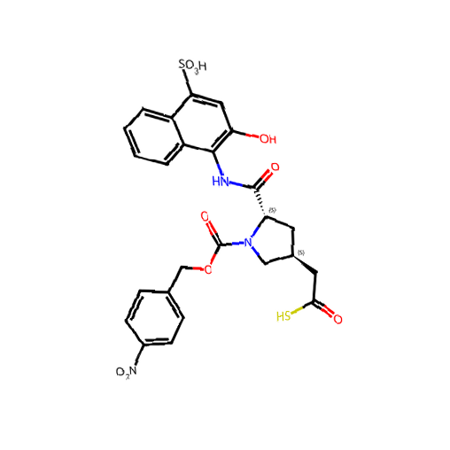 O=C(S)C[C@@H]1C[C@@H](C(=O)Nc2c(O)cc(S(=O)(=O)O)c3ccccc23)N(C(=O)OCc2ccc([N+](=O)[O-])cc2)C1